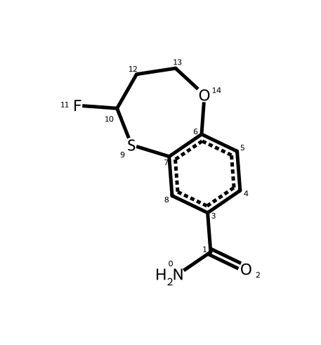 NC(=O)c1ccc2c(c1)SC(F)CCO2